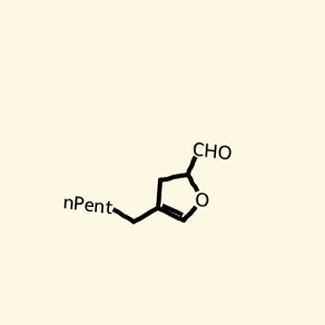 CCCCCCC1=COC(C=O)C1